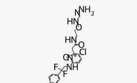 NN=CNOCCNC(=O)Cc1c(Cl)ccc(NCC(F)(F)c2ccccc2)[n+]1[O-]